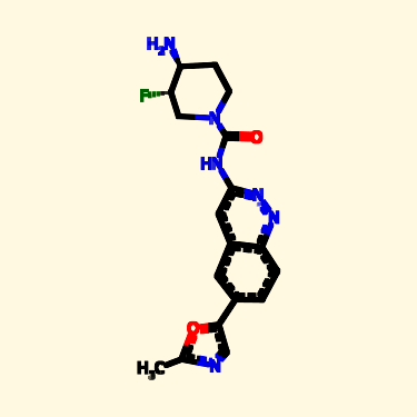 Cc1ncc(-c2ccc3nnc(NC(=O)N4CC[C@H](N)[C@@H](F)C4)cc3c2)o1